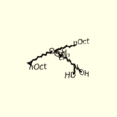 CCCCCCCC/C=C\CCCCCCCC(OCCCCCCCCC1CC1CCCCCCCC)O[Si](C)(C)OCCCCCCN(CCO)CCO